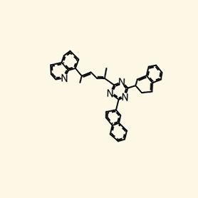 C/C(=C\C=C(/C)c1cccc2cccnc12)c1nc(-c2ccc3ccccc3c2)nc(C2C=c3ccccc3=CC2)n1